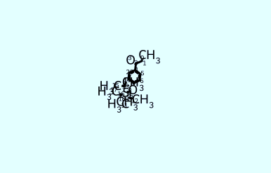 CCC(=O)c1ccc(O[Si](C(C)C)(C(C)C)C(C)C)cc1